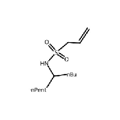 C=CCS(=O)(=O)NC([CH]CCCC)CCCC